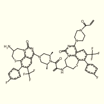 C=CC(=O)N1CCN(c2nc(=O)n3c4c(c(-c5ccc(F)cc5)c(C(F)(F)F)cc24)SCC(NC(=C)C(=O)N2[C@H](C)CN(c4nc(=O)n5c6c(c(-c7ccc(F)cc7)c(C(F)(F)F)cc46)SCC(N)C5)C[C@@H]2C)C3)CC1